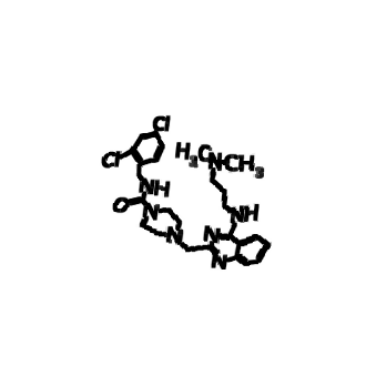 CN(C)CCCNc1nc(CN2CCN(C(=O)NCc3ccc(Cl)cc3Cl)CC2)nc2ccccc12